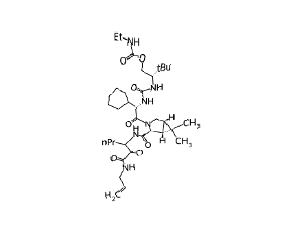 C=CCNC(=O)C(=O)C(CCC)NC(=O)[C@@H]1[C@@H]2[C@H](CN1C(=O)[C@@H](NC(=O)N[C@H](COC(=O)NCC)C(C)(C)C)C1CCCCC1)C2(C)C